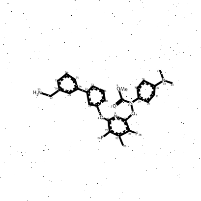 COC(=O)N(Oc1nc(Oc2cccc(-c3cccc(CN)c3)c2)c(F)c(C)c1F)c1ccc(N(C)C)cc1